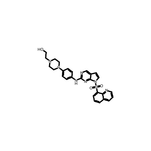 O=S(=O)(c1cccc2cccnc12)n1ccc2cnc(Nc3ccc(N4CCN(CCO)CC4)cc3)nc21